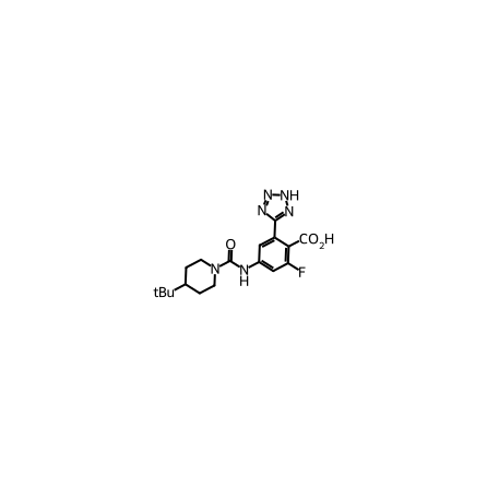 CC(C)(C)C1CCN(C(=O)Nc2cc(F)c(C(=O)O)c(-c3nn[nH]n3)c2)CC1